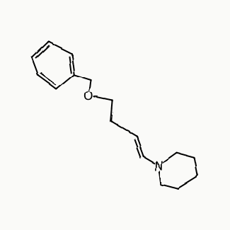 C(=CN1CCCCC1)CCOCc1ccccc1